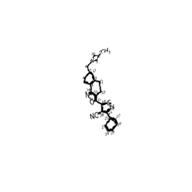 CC1CN(Cc2ccc3c(c2)CCc2c-3noc2-c2snc(-c3ccccc3)c2C#N)C1